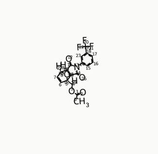 CC(=O)OC[C@@]12C=C[C@@H](O1)[C@H]1C(=O)N(c3cccc(C(F)(F)F)c3)C(=O)[C@H]12